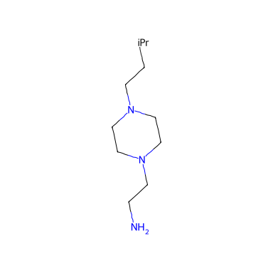 CC(C)CCN1CCN(CCN)CC1